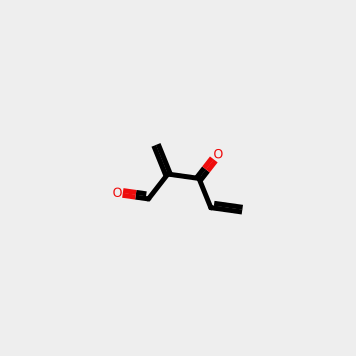 C=CC(=O)C(=C)C=O